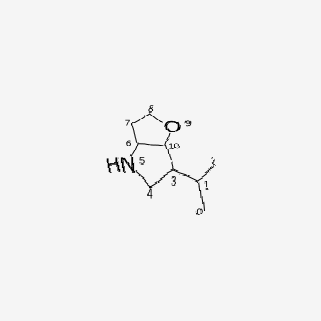 CC(C)C1CNC2CCOC21